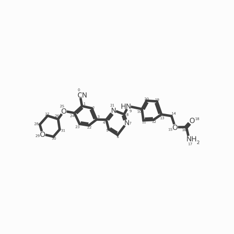 N#Cc1cc(-c2ccnc(Nc3ccc(COC(N)=O)cc3)n2)ccc1OC1CCOCC1